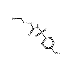 COc1ccc(S(=O)(=O)NC(=O)NCCC(C)C)cc1